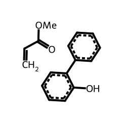 C=CC(=O)OC.Oc1ccccc1-c1ccccc1